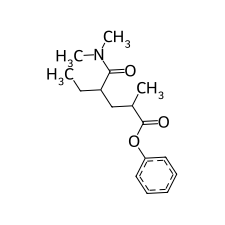 CCC(CC(C)C(=O)Oc1ccccc1)C(=O)N(C)C